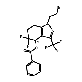 O=C(O[C@H]1c2c(C(F)(F)F)nn(CCBr)c2CCC1(F)F)c1ccccc1